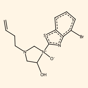 C=CCCN1CC(O)[N+]([O-])(c2nc3c(Br)cccc3s2)C1